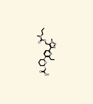 CCCN(C)C(=O)OCc1c(-c2ccc([C@@H]3CCC[C@@H](CC(=O)O)O3)c(CC)n2)nnn1C